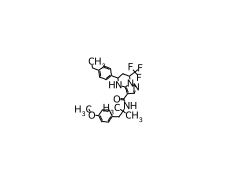 CCc1ccc(C2CC(C(F)(F)F)n3ncc(C(=O)NC(C)(C)Cc4ccc(OC)cc4)c3N2)cc1